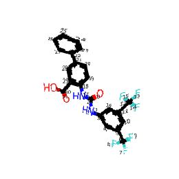 O=C(Nc1cc(C(F)(F)F)cc(C(F)(F)F)c1)Nc1ccc(-c2ccccc2)cc1C(=O)O